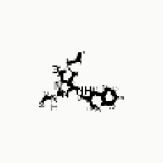 CCCN1Cc2c(NCc3cnc4ccccc4c3)nc(NCC)nc2C1=O